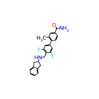 Cc1cc(C(N)=O)ccc1-c1cc(F)c(CNC2Cc3ccccc3C2)c(F)c1